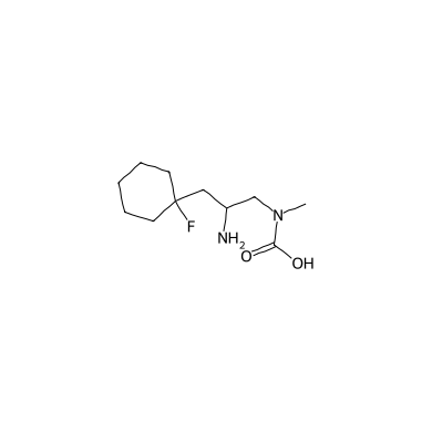 CN(CC(N)CC1(F)CCCCC1)C(=O)O